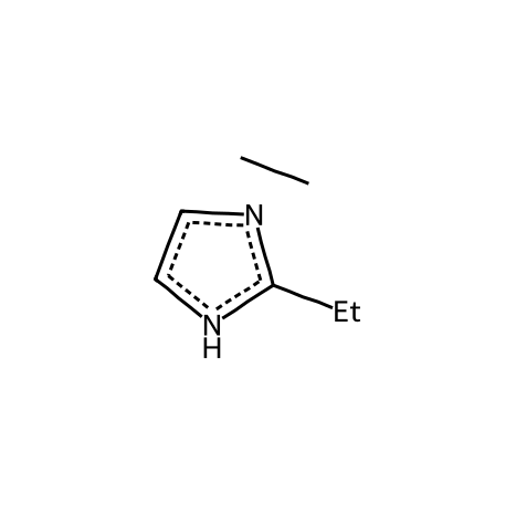 CC.CCc1ncc[nH]1